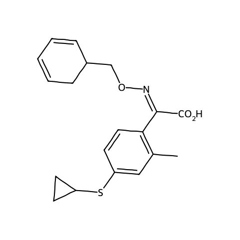 Cc1cc(SC2CC2)ccc1/C(=N\OCC1C=CC=CC1)C(=O)O